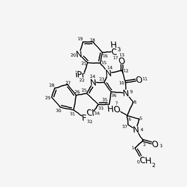 C=CC(=O)N1CC(O)(Cn2c(=O)c(=O)n(-c3c(C)ccnc3C(C)C)c3nc(-c4ccccc4F)c(Cl)cc32)C1